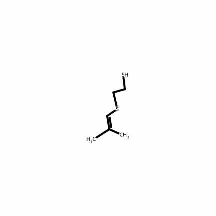 CC(C)=CSCCS